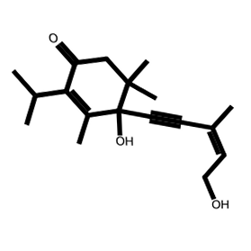 CC1=C(C(C)C)C(=O)CC(C)(C)C1(O)C#C/C(C)=C\CO